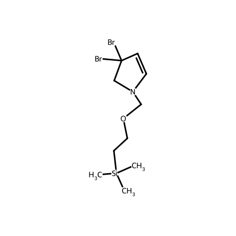 C[Si](C)(C)CCOCN1C=CC(Br)(Br)C1